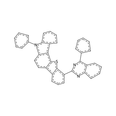 c1ccc(-c2nc(-c3cccc4c3sc3c4ccc4c3c3ccccc3n4-c3ccccc3)nc3ccccc23)cc1